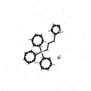 [Br-].c1ccc([P+](CCCc2cccs2)(c2ccccc2)c2ccccc2)cc1